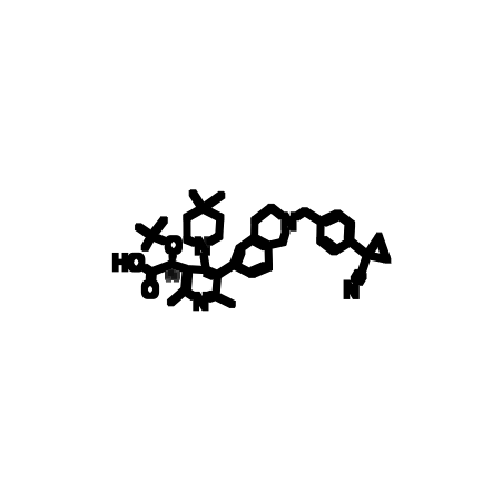 Cc1nc(C)c([C@H](OC(C)(C)C)C(=O)O)c(N2CCC(C)(C)CC2)c1-c1ccc2c(c1)CCN(Cc1ccc(C3(C#N)CC3)cc1)C2